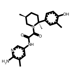 Cc1cc([C@]2(C)CC[C@H](C)CN2C(=O)C(=O)Nc2cnc(N)c(C)c2)ccc1O